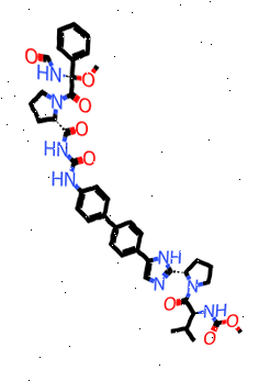 COC(=O)N[C@H](C(=O)N1CCC[C@H]1c1ncc(-c2ccc(-c3ccc(NC(=O)NC(=O)[C@@H]4CCCN4C(=O)[C@](NC=O)(OC)c4ccccc4)cc3)cc2)[nH]1)C(C)C